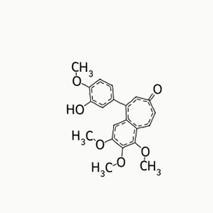 COc1ccc(-c2cc(=O)ccc3c(OC)c(OC)c(OC)cc23)cc1O